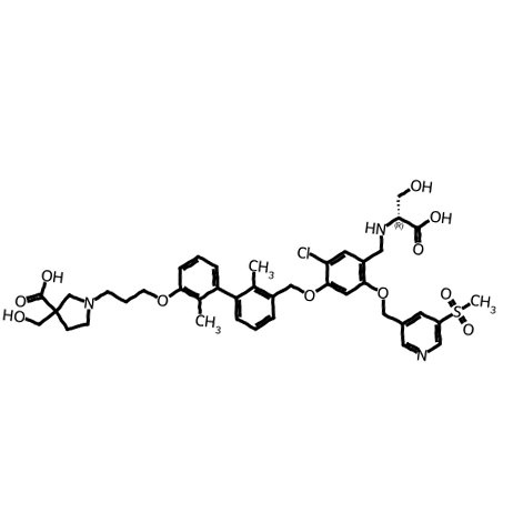 Cc1c(COc2cc(OCc3cncc(S(C)(=O)=O)c3)c(CN[C@H](CO)C(=O)O)cc2Cl)cccc1-c1cccc(OCCCN2CCC(CO)(C(=O)O)C2)c1C